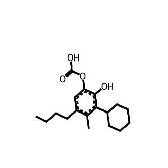 CCCCc1cc(OC(=O)O)c(O)c(C2CCCCC2)c1C